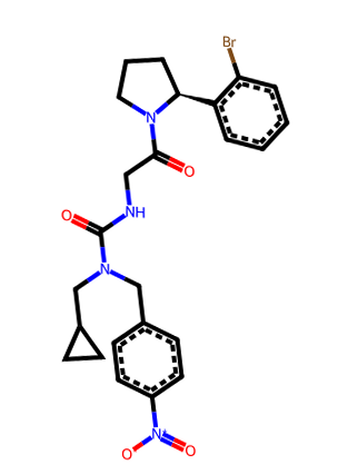 O=C(NCC(=O)N1CCC[C@H]1c1ccccc1Br)N(Cc1ccc([N+](=O)[O-])cc1)CC1CC1